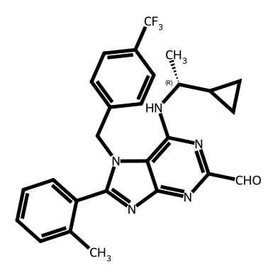 Cc1ccccc1-c1nc2nc(C=O)nc(N[C@H](C)C3CC3)c2n1Cc1ccc(C(F)(F)F)cc1